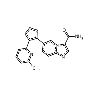 Cc1cccc(-c2ccsc2-c2ccc3ncc(C(N)=O)n3c2)n1